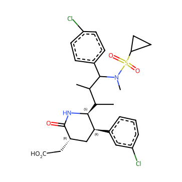 CC(C(C)[C@@H]1NC(=O)[C@@H](CC(=O)O)C[C@@H]1c1cccc(Cl)c1)C(c1ccc(Cl)cc1)N(C)S(=O)(=O)C1CC1